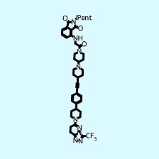 CCCC(C)N1C(=O)c2cccc(NCC(=O)N3CCC(N4CCC(C#Cc5ccc(C6CCN(C7=Nn8c(nnc8C(F)(F)F)CC7)CC6)cc5)CC4)CC3)c2C1=O